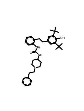 CC(C)(C)c1cc(CCc2ccccc2NC(=O)NC2CCN(CCc3ccccc3)CC2)cc(C(C)(C)C)c1O